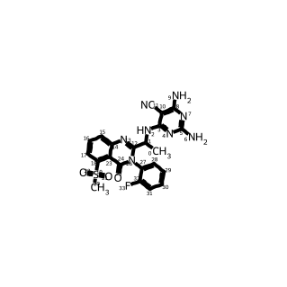 CC(Nc1nc(N)nc(N)c1C#N)c1nc2cccc(S(C)(=O)=O)c2c(=O)n1-c1ccccc1F